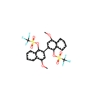 COc1cc(-c2cc(OC)c3ccccc3c2OS(=O)(=O)C(F)(F)F)c(OS(=O)(=O)C(F)(F)F)c2ccccc12